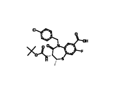 C[C@H]1Sc2cc(F)c(C(=O)O)cc2N(Cc2ccc(Cl)cc2)C(=O)[C@H]1NC(=O)OC(C)(C)C